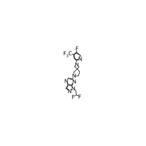 Fc1cnc(N2CC3(CCN(c4cnc5cnn(CC(F)F)c5n4)C3)C2)cc1C(F)(F)F